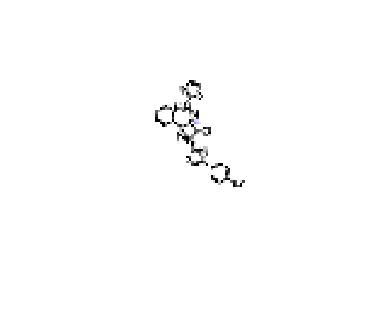 CC(=O)c1ccc(-c2csc(N3N=C(c4ccccc4)/C(=N\Nc4nccs4)C3=O)n2)cc1